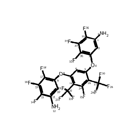 Nc1cc(Oc2cc(Oc3cc(N)c(F)c(F)c3F)c(C(F)(F)F)c(F)c2C(F)(F)F)c(F)c(F)c1F